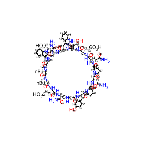 CCCC[C@H]1C(=O)N(C)[C@@H](CCCC)C(=O)N[C@@H](CCC(=O)O)C(=O)N[C@H](C(N)=O)CNCC(=O)N[C@@H](Cc2ccc(O)cc2)C(=O)N2CCCC[C@H]2C(=O)N[C@@H](CC(N)=O)C(=O)N2CCC[C@H]2C(=O)N[C@@H](CCC(N)=O)C(=O)N[C@@H](CCC(=O)O)C(=O)N2C[C@H](O)C[C@H]2C(=O)N[C@@H](Cc2c[nH]c3ccccc23)C(=O)N[C@@H](CC(N)=O)C(=O)N[C@@H](Cc2cn(CC(=O)O)c3ccccc23)C(=O)N1C